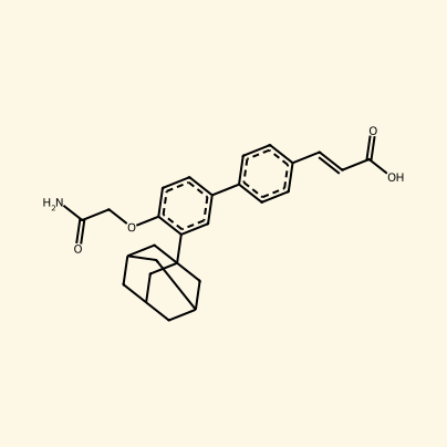 NC(=O)COc1ccc(-c2ccc(C=CC(=O)O)cc2)cc1C12CC3CC(CC(C3)C1)C2